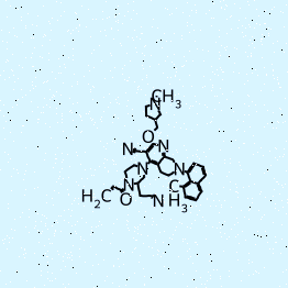 C=CC(=O)N1CCN(c2c(C#N)c(OCC3CCN(C)C3)nc3c2CCN(c2cccc4cccc(C)c24)C3)CC1CC#N